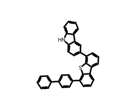 c1ccc(-c2ccc(-c3cccc4c3sc3c(-c5ccc6[nH]c7ccccc7c6c5)cccc34)cc2)cc1